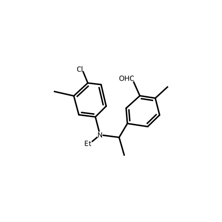 CCN(c1ccc(Cl)c(C)c1)C(C)c1ccc(C)c(C=O)c1